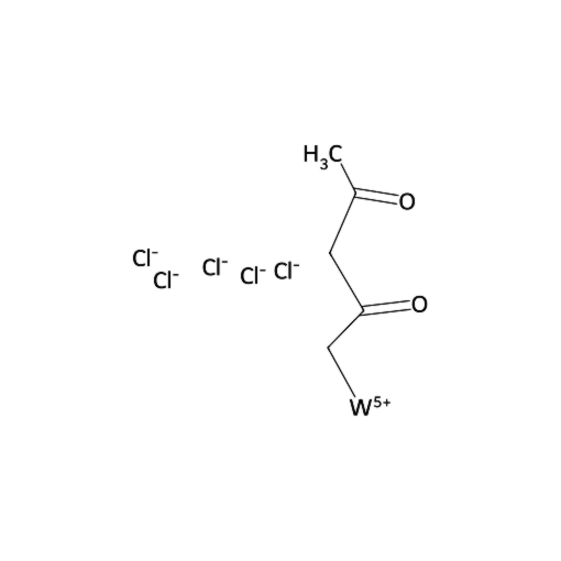 CC(=O)CC(=O)[CH2][W+5].[Cl-].[Cl-].[Cl-].[Cl-].[Cl-]